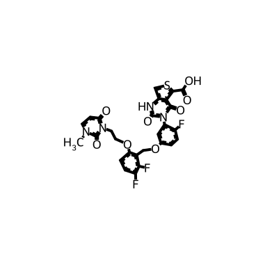 Cn1ccc(=O)n(CCOc2ccc(F)c(F)c2COc2ccc(F)c(-n3c(=O)[nH]c4csc(C(=O)O)c4c3=O)c2)c1=O